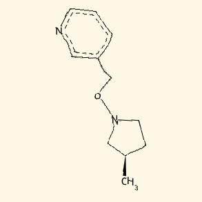 C[C@@H]1CCN(OCc2cccnc2)C1